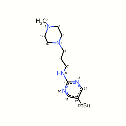 CN1CCN(CCCNc2ncc(C(C)(C)C)cn2)CC1